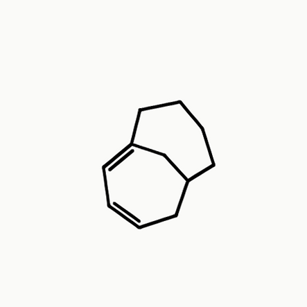 C1=CCC2CCCCC(=C1)C2